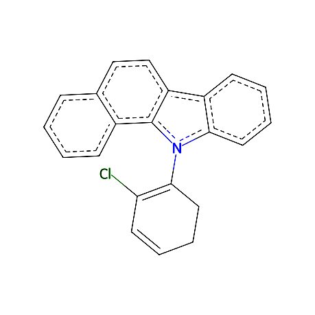 ClC1=C(n2c3ccccc3c3ccc4ccccc4c32)CCC=C1